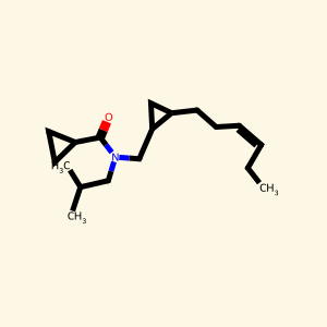 CC/C=C\CCC1CC1CN(CC(C)C)C(=O)C1CC1